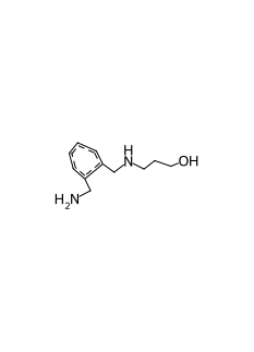 NCc1ccccc1CNCCCO